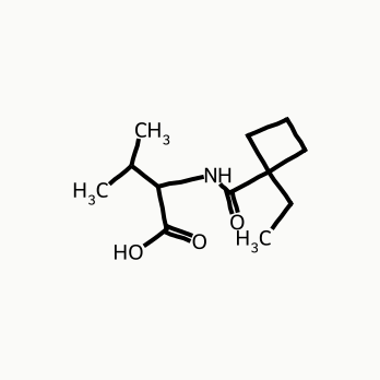 CCC1(C(=O)NC(C(=O)O)C(C)C)CCC1